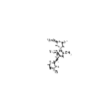 COc1cc(F)cc(-n2c(C)nc(C#Cc3ccnc(Cl)c3)c2C)c1